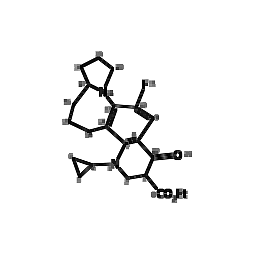 CCOC(=O)C1CN(C2CC2)c2c(cc(F)c3c2CCCC2CCCN32)C1=O